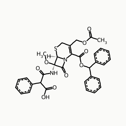 CO[C@]1(NC(=O)C(C(=O)O)c2ccccc2)C(=O)N2C(C(=O)OC(c3ccccc3)c3ccccc3)=C(COC(C)=O)CS[C@@H]21